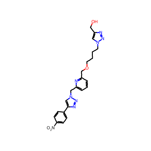 O=[N+]([O-])c1ccc(-c2cn(Cc3cccc(COCCCCn4cc(CO)nn4)n3)nn2)cc1